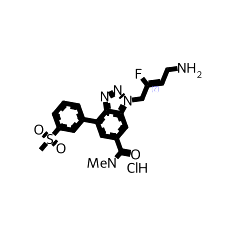 CNC(=O)c1cc(-c2cccc(S(C)(=O)=O)c2)c2nnn(C/C(F)=C/CN)c2c1.Cl